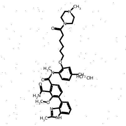 COc1c(-c2cccc3[nH]c(C)nc23)ccc(C(=O)N(C)c2ccc(C)cc2OCCCCCC(=O)N2CCN(C)CC2)c1C(N)=O.Cl.Cl